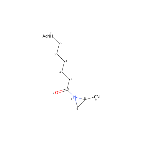 CC(=O)NCCCCCC(=O)N1CC1C#N